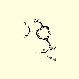 C[C@H](Nc1cc(C(F)F)c(Br)cn1)C(C)(C)C